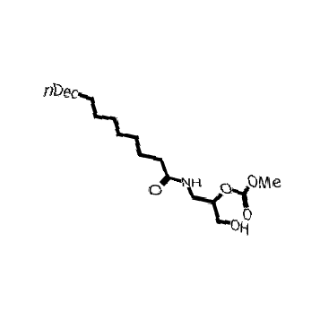 CCCCCCCCCCCCCCCCCC(=O)NCC(CO)OC(=O)OC